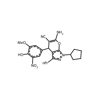 CCCc1nn(C2CCCC2)c2c1C(c1cc(OC)c(O)c([N+](=O)[O-])c1)C(C#N)=C(N)O2